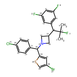 CC(C)(F)C(c1cc(F)cc(F)c1)C1CN(C(c2ccc(Cl)cc2)c2cc(Br)cs2)C1